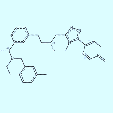 C=N/C=N\C(=C/C)c1nnc(C[C@H](C)CCc2cccc([C@@H](C)N(CC)Cc3cccc(C)c3)c2)n1C